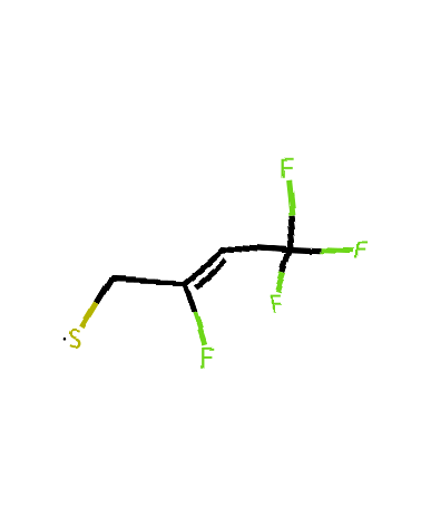 F/C(=C\C(F)(F)F)C[S]